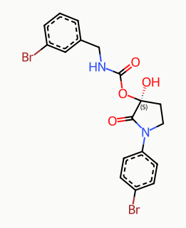 O=C(NCc1cccc(Br)c1)O[C@@]1(O)CCN(c2ccc(Br)cc2)C1=O